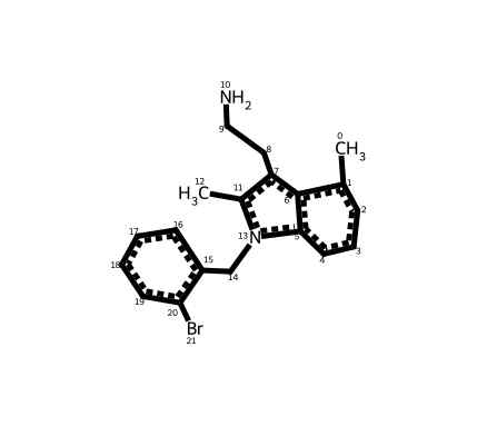 Cc1cccc2c1c(CCN)c(C)n2Cc1ccccc1Br